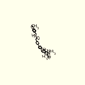 COc1ccc(CNC(=O)CC2CCC(c3ccc(N4CCc5nc(OC)nc(N)c5C4=O)cc3)CC2)cc1